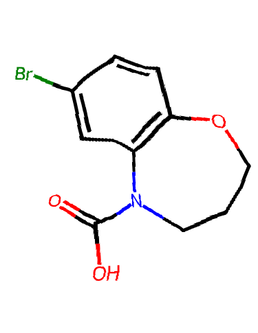 O=C(O)N1CCCOc2ccc(Br)cc21